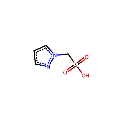 O=S(=O)(O)Cn1cccn1